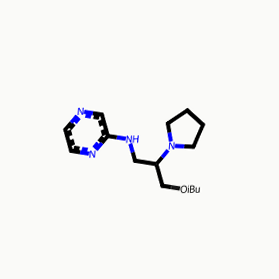 CC(C)COCC(CNc1cnccn1)N1CCCC1